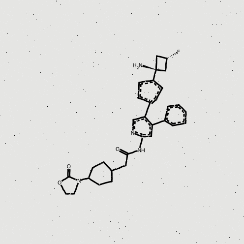 N[C@]1(c2ccc(-c3cnc(NC(=O)CC4CCC(N5CCOC5=O)CC4)cc3-c3ccccc3)cc2)C[C@@H](F)C1